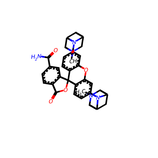 CN1CC2CC(C1)N2c1ccc2c(c1)Oc1cc(N3C4CC3CN(C)C4)ccc1C21OC(=O)c2ccc(C(N)=O)cc21